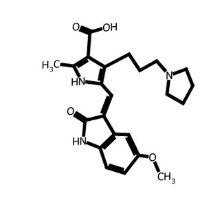 COc1ccc2c(c1)C(=Cc1[nH]c(C)c(C(=O)O)c1CCCN1CCCC1)C(=O)N2